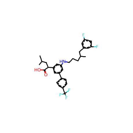 CC(C)CC(C(=O)O)c1cc(NCCCC(C)Cc2cc(F)cc(F)c2)cc(-c2ccc(C(F)(F)F)cc2)c1